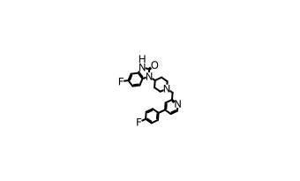 O=c1[nH]c2cc(F)ccc2n1C1CCN(Cc2cc(-c3ccc(F)cc3)ccn2)CC1